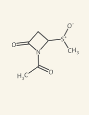 CC(=O)N1C(=O)CC1[S+](C)[O-]